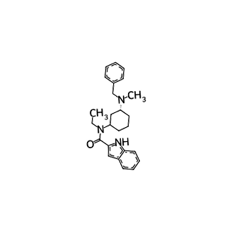 CCN(C(=O)c1cc2ccccc2[nH]1)C1CCC[C@@H](N(C)Cc2ccccc2)C1